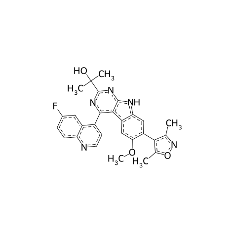 COc1cc2c(cc1-c1c(C)noc1C)[nH]c1nc(C(C)(C)O)nc(-c3ccnc4ccc(F)cc34)c12